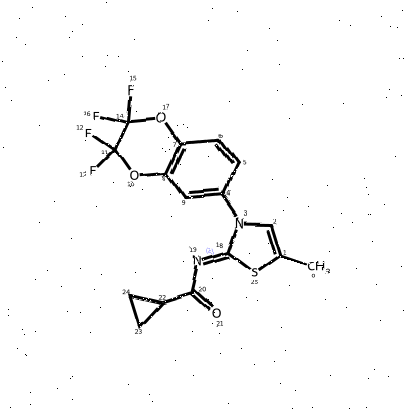 Cc1cn(-c2ccc3c(c2)OC(F)(F)C(F)(F)O3)/c(=N/C(=O)C2CC2)s1